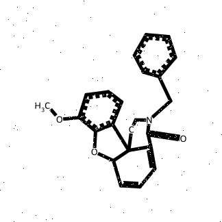 COc1cccc2c1OC1C=CC=C3C(=O)N(Cc4ccccc4)CCC321